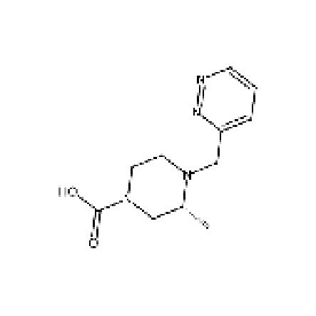 C[C@@H]1CN(C(=O)O)CCN1Cc1cccnn1